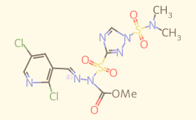 COC(=O)N(/N=C/c1cc(Cl)cnc1Cl)S(=O)(=O)c1ncn(S(=O)(=O)N(C)C)n1